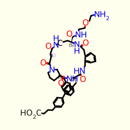 NCCOCCNC(=O)[C@@H]1CCNC(=O)/C=C/C(=O)N2CCC[C@](Cc3ccccc3)(C2)C(=O)N[C@@H](Cc2ccc(-c3ccc(CCCC(=O)O)cc3)cc2)C(=O)NCc2ccccc2CC(=O)N1